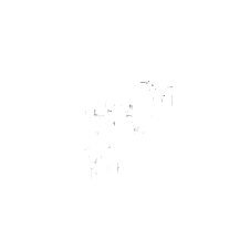 O=S(=O)(C[CH2][Ge]([Cl])([Cl])[Cl])OS(=O)(=O)C[CH2][Ge]([Cl])([Cl])[Cl]